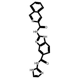 O=C(Nc1ncc[nH]1)c1ccc2[nH]c(NC(=O)c3cc4ccccc4cn3)nc2c1